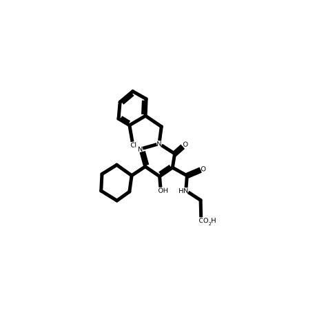 O=C(O)CNC(=O)c1c(O)c(C2CCCCC2)nn(Cc2ccccc2Cl)c1=O